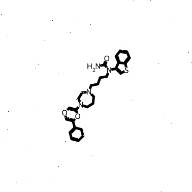 NC(=O)N(CCCCN1CCCN(C2=COC=C(C3=CC=CCC3)O2)CC1)c1csc2ccccc12